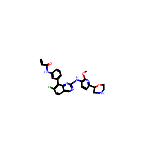 C=CC(=O)Nc1cccc(-c2c(F)ccc3cnc(Nc4ccc(C5CNCCO5)nc4OC)nc23)c1